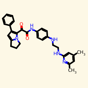 Cc1cc(C)nc(NCCNc2ccc(NC(=O)C(=O)c3c(-c4ccccc4)cc4n3CCC4)cc2)c1